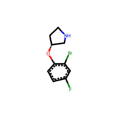 Fc1ccc(O[C@H]2CCNC2)c(Br)c1